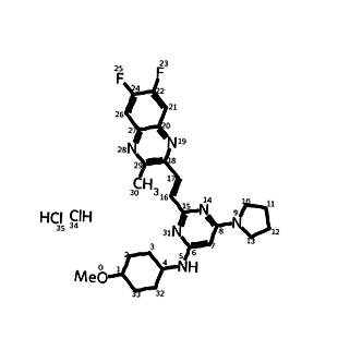 COC1CCC(Nc2cc(N3CCCC3)nc(C=Cc3nc4cc(F)c(F)cc4nc3C)n2)CC1.Cl.Cl